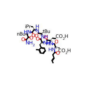 CC=CCC(=O)N[C@@H](CC(=O)O)C(=O)N[C@@H](CCC(=O)O)C(=O)N[C@@H](Cc1ccccc1C)C(=O)N[C@H](C(=O)N[C@@H](CC(C)C)C(=O)N[C@@H](CCCC)C(=O)C(N)=O)C(C)(C)C